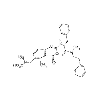 Cc1c(CN(C(=O)O)C(C)(C)C)ccc2nc(N[C@@H](Cc3ccccc3)C(=O)N(C)CCc3ccccc3)oc(=O)c12